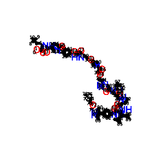 COC(=O)[C@H](CCC(C)(C)C)NC(=O)c1ccc(Oc2cccc(OCC(=O)NCCOC3CN(C(=O)COCc4cn(CC(=O)NCC(Cn5nccc5C(=O)N[C@H](C(=O)Nc5ccc(-c6c(C)nn(COCC[Si](C)(C)C)c6C)cc5)C(C5CC5)C5CC5)O[Si](C)(C)C(C)(C)C)nn4)C3)c2)nc1